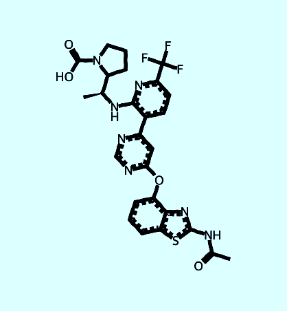 CC(=O)Nc1nc2c(Oc3cc(-c4ccc(C(F)(F)F)nc4N[C@@H](C)C4CCCN4C(=O)O)ncn3)cccc2s1